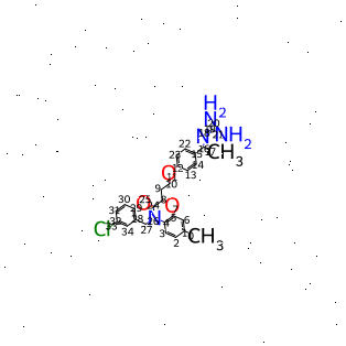 Cc1ccc2c(c1)OC(CCOc1ccc(C(C)N=C(N)N)cc1)C(=O)N2Cc1cccc(Cl)c1